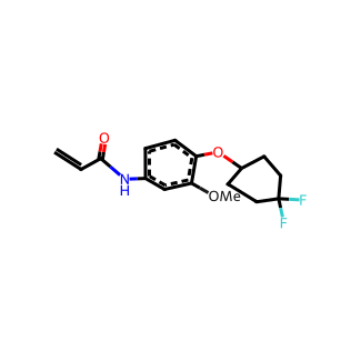 C=CC(=O)Nc1ccc(OC2CCC(F)(F)CC2)c(OC)c1